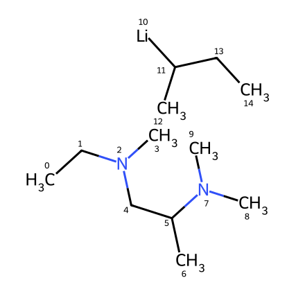 CCN(C)CC(C)N(C)C.[Li][CH](C)CC